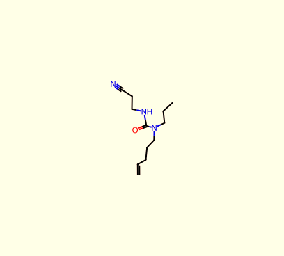 C=CCCCN(CCC)C(=O)NCCC#N